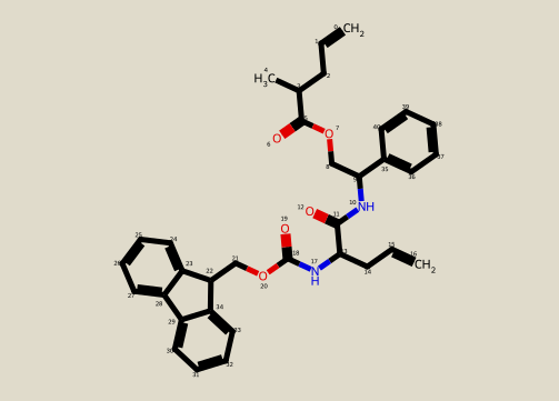 C=CCC(C)C(=O)OCC(NC(=O)C(CC=C)NC(=O)OCC1c2ccccc2-c2ccccc21)c1ccccc1